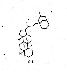 CC1CC2CCCC(CC[C@@H](C)[C@H]3CC[C@H]4[C@@H]5CC[C@H]6C[C@@H](O)CC[C@]6(C)[C@H]5CC[C@]34C)(C1)C2